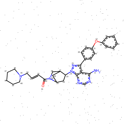 Nc1ncnc2c1c(-c1ccc(Oc3ccccc3)cc1)nn2C1CC2CC1CN2C(=O)/C=C/CN1CCCCC1